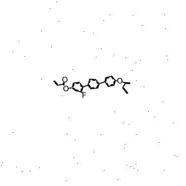 C=CC(=C)Oc1ccc(-c2ccc(-c3ccc(OC(=O)C=C)cc3F)cc2)cc1